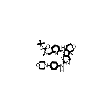 CN(Cc1cccc(N2c3nc(Nc4ccc(N5CCOCC5)cc4)ncc3[C@@]3(C)COCC[C@@H]23)n1)C(=O)OC(C)(C)C